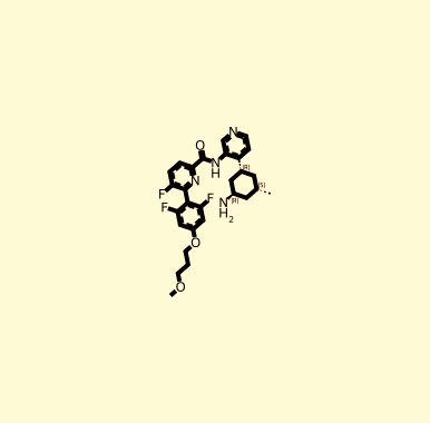 COCCCOc1cc(F)c(-c2nc(C(=O)Nc3cnccc3[C@@H]3C[C@H](C)C[C@@H](N)C3)ccc2F)c(F)c1